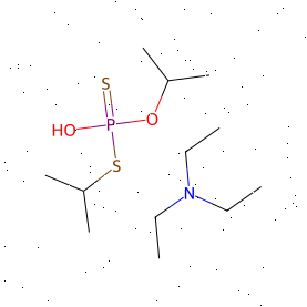 CC(C)OP(O)(=S)SC(C)C.CCN(CC)CC